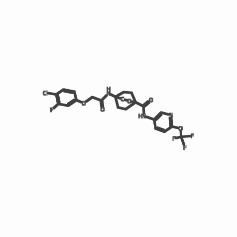 O=C(COc1ccc(Cl)c(F)c1)NC12CCC(C(=O)Nc3ccc(OC(F)(F)F)nc3)(CC1)OC2